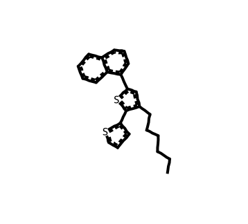 CCCCCCc1cc(-c2cccc3ccccc23)sc1-c1cccs1